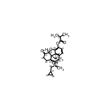 CC[C@]12c3c4ccc(OC(=O)C(C)C)c3O[C@H]1C(=O)CC[C@@]2(O)[C@H](N(C)CC1CC1)C4